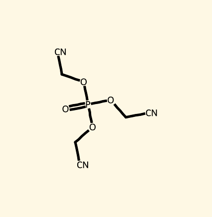 N#CCOP(=O)(OCC#N)OCC#N